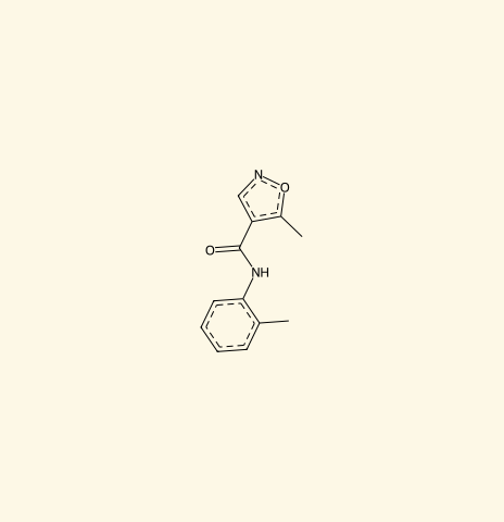 Cc1ccccc1NC(=O)c1cnoc1C